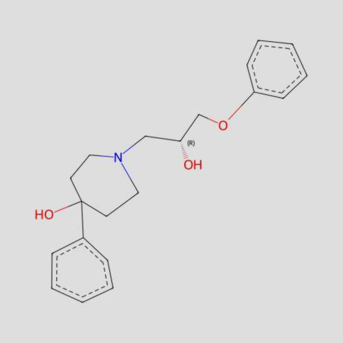 O[C@@H](COc1ccccc1)CN1CCC(O)(c2ccccc2)CC1